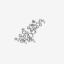 COCC1=C(C(=O)OC(C)OC(=O)C(C)(C)C)N2C(=O)C(NC(=O)C(Br)C(C)=O)[C@@H]2SC1